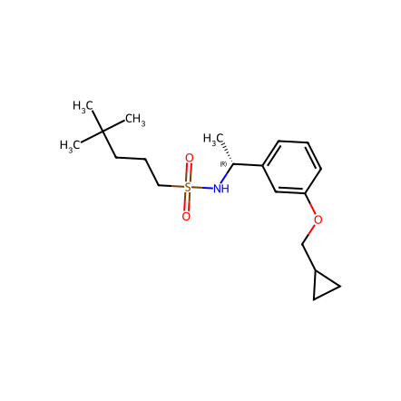 C[C@@H](NS(=O)(=O)CCCC(C)(C)C)c1cccc(OCC2CC2)c1